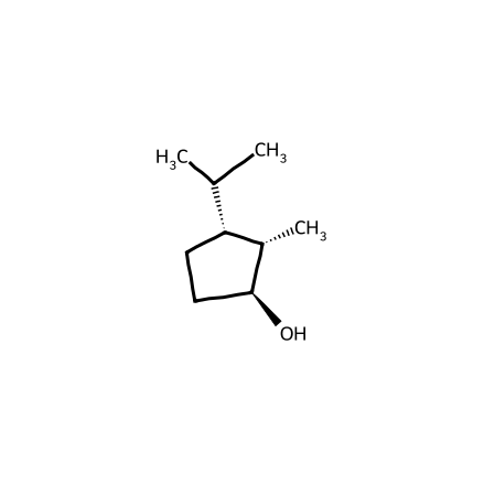 CC(C)[C@H]1CC[C@H](O)[C@H]1C